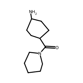 NC1CCC(C(=O)N2CCCCC2)CC1